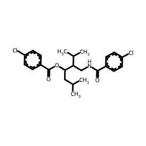 CC(C)CC(OC(=O)c1ccc(Cl)cc1)C(CNC(=O)c1ccc(Cl)cc1)C(C)C